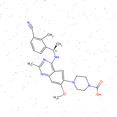 COc1cc2nc(C)nc(N[C@H](C)c3cccc(C#N)c3C)c2cc1N1CCN(C(=O)O)CC1